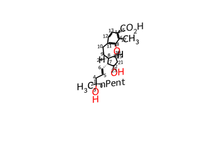 CCCCC[C@](C)(O)C/C=C/[C@@H]1[C@H]2CCc3ccc(C(=O)O)c(C)c3O[C@H]2C[C@H]1O